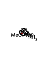 COc1ccc2c(c1)C1(c3ccccc3)OCCN1Cc1nc(C(N)=O)nn1-2